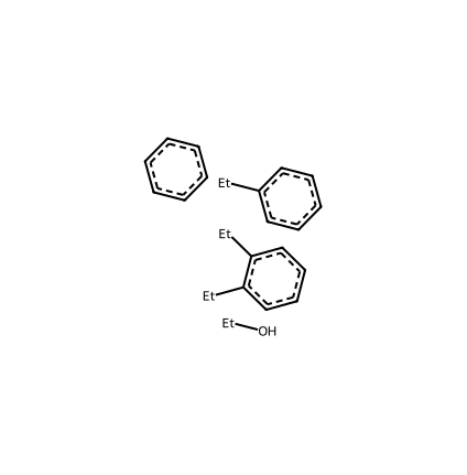 CCO.CCc1ccccc1.CCc1ccccc1CC.c1ccccc1